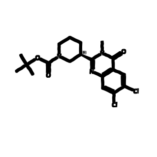 Cn1c([C@@H]2CCCN(C(=O)OC(C)(C)C)C2)nc2cc(Cl)c(Cl)cc2c1=O